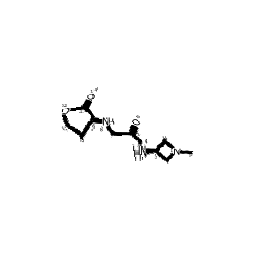 CN1CC(NC(=O)CNC2CCOC2=O)C1